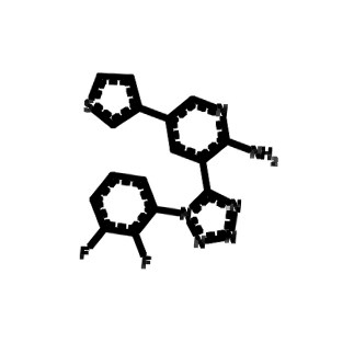 Nc1ncc(-c2ccsc2)cc1-c1nnnn1-c1cccc(F)c1F